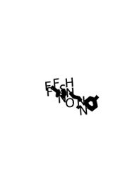 Cc1ccc2ncn(CC(=O)Nc3ncc(C(F)(F)F)s3)c2c1